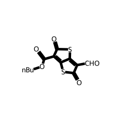 CCCCOC(=O)C1=C2SC(=O)C(C=O)=C2SC1=O